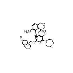 N#Cc1c(N)ccc2c1[C@@]1(COC2)Cc2nc(OC[C@@]34CCCN3C[C@H](F)C4)nc(N3CCCOCC3)c2CO1